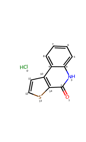 Cl.O=c1[nH]c2ccccc2c2ccsc12